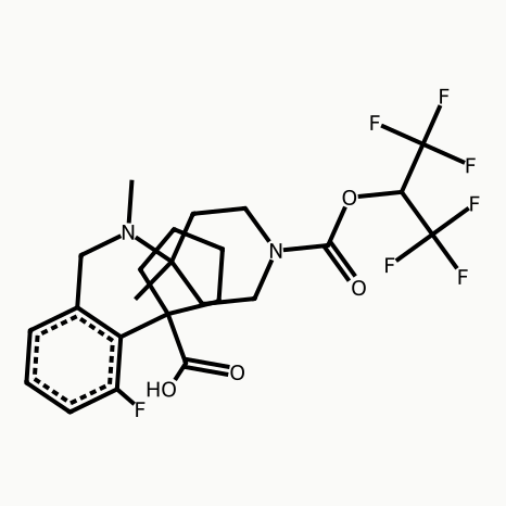 CN(Cc1cccc(F)c1C1(C(=O)O)CCCC1)C1(C)CCN(C(=O)OC(C(F)(F)F)C(F)(F)F)CC1